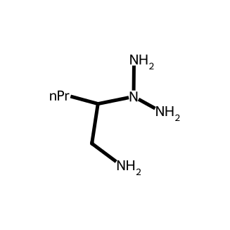 CCCC(CN)N(N)N